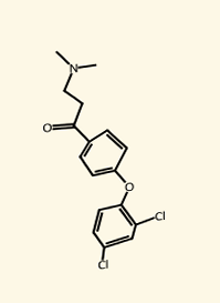 CN(C)CCC(=O)c1ccc(Oc2ccc(Cl)cc2Cl)cc1